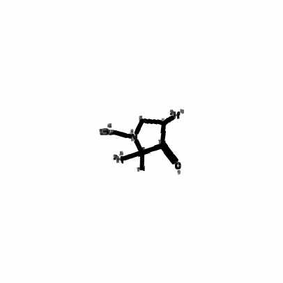 [2H]C1CN(C(C)(C)C)C([2H])(C)C1=O